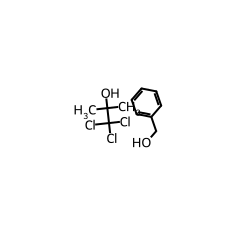 CC(C)(O)C(Cl)(Cl)Cl.OCc1ccccc1